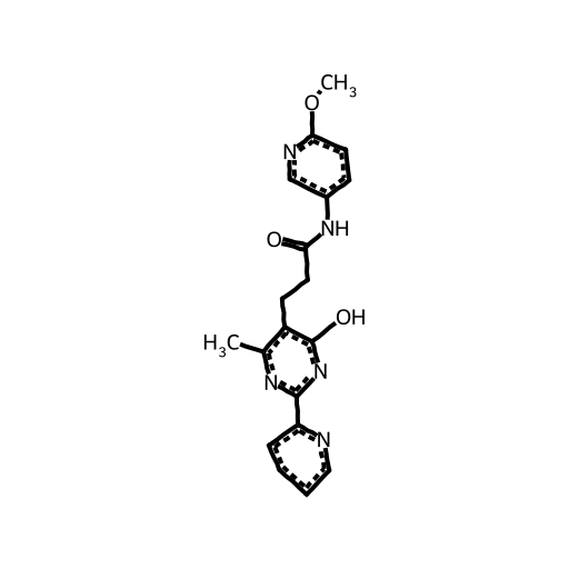 COc1ccc(NC(=O)CCc2c(C)nc(-c3ccccn3)nc2O)cn1